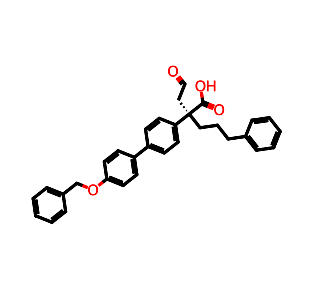 O=CC[C@@](CCCc1ccccc1)(C(=O)O)c1ccc(-c2ccc(OCc3ccccc3)cc2)cc1